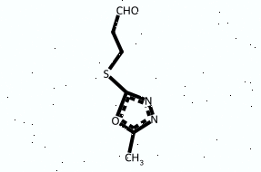 Cc1nnc(SCCC=O)o1